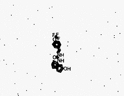 O=C(NCCc1ccc(OC(F)(F)F)cc1)Nc1cccc2c1C[C@H](O)CC2